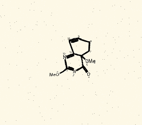 COC1=NC(=O)C2(OC)CCC=CC2=N1